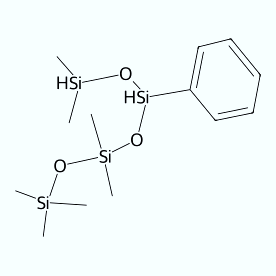 C[SiH](C)O[SiH](O[Si](C)(C)O[Si](C)(C)C)c1ccccc1